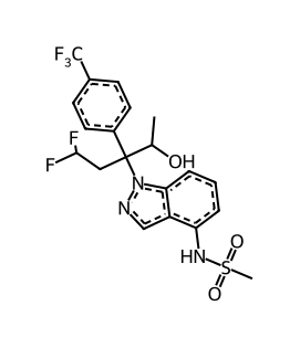 CC(O)C(CC(F)F)(c1ccc(C(F)(F)F)cc1)n1ncc2c(NS(C)(=O)=O)cccc21